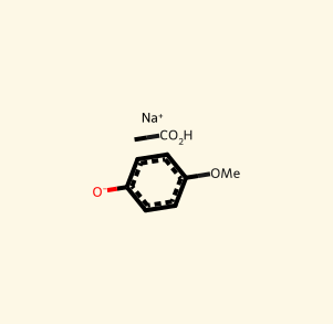 CC(=O)O.COc1ccc([O-])cc1.[Na+]